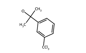 CC(C)([O])c1cccc(C(Cl)(Cl)Cl)c1